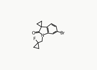 O=C1N(CC2(F)CC2)c2cc(Br)ccc2C12CC2